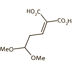 COC(CC=C(C(=O)O)C(=O)O)OC